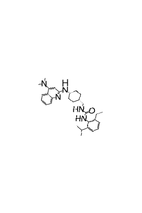 CCc1cccc(C(C)C)c1NC(=O)NC[C@H]1CC[C@@H](Nc2cc(N(C)C)c3ccccc3n2)CC1